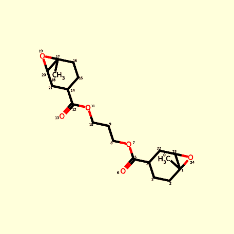 CC12CCC(C(=O)OCCCOC(=O)C3CCC4(C)OC4C3)CC1O2